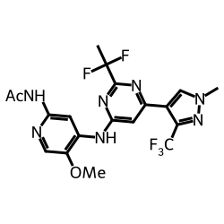 COc1cnc(NC(C)=O)cc1Nc1cc(-c2cn(C)nc2C(F)(F)F)nc(C(C)(F)F)n1